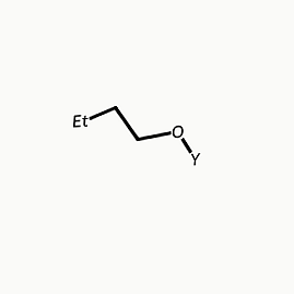 CCCC[O][Y]